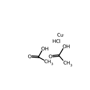 CC(=O)O.CC(=O)O.Cl.[Cu]